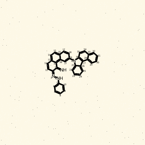 N=C1/C(=N\Nc2ccccc2)C=Cc2ccc3ccc(-n4c5ccccc5c5c6ccccc6ccc54)cc3c21